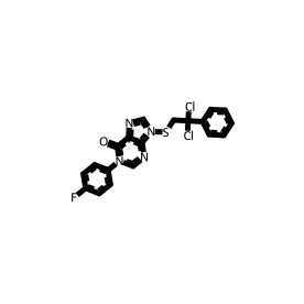 O=c1c2ncn(SCC(Cl)(Cl)c3ccccc3)c2ncn1-c1ccc(F)cc1